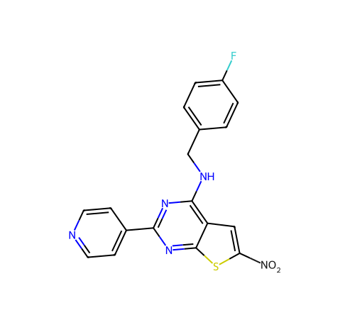 O=[N+]([O-])c1cc2c(NCc3ccc(F)cc3)nc(-c3ccncc3)nc2s1